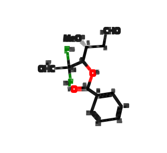 CO[C@H](CC=O)C(OC(=O)c1ccccc1)C(F)(F)C=O